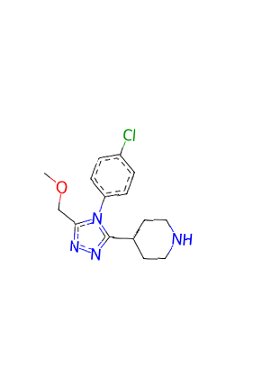 COCc1nnc(C2CCNCC2)n1-c1ccc(Cl)cc1